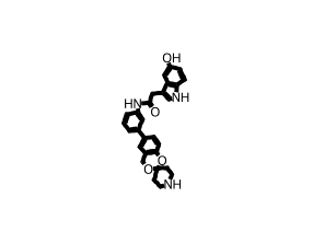 O=C(Cc1c[nH]c2ccc(O)cc12)Nc1cccc(-c2ccc3c(c2)COC2(CCNCC2)O3)c1